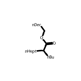 CCCCCCCCCCCOC(=O)C(CCCC)CCCCCCC